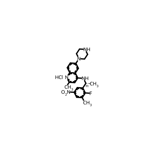 Cc1cc(N[C@H](C)c2cc([N+](=O)[O-])cc(C)c2F)c2cc(N3CCNCC3)ccc2n1.Cl